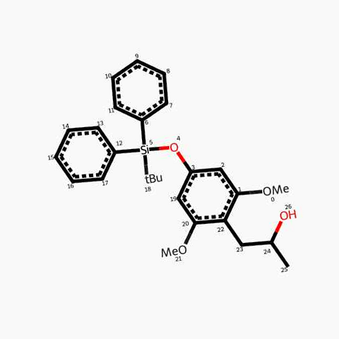 COc1cc(O[Si](c2ccccc2)(c2ccccc2)C(C)(C)C)cc(OC)c1CC(C)O